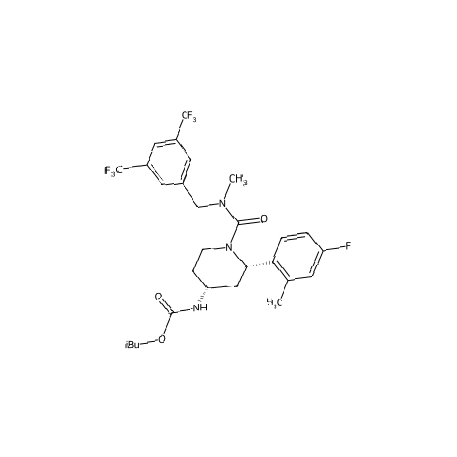 CCC(C)OC(=O)N[C@@H]1CCN(C(=O)N(C)Cc2cc(C(F)(F)F)cc(C(F)(F)F)c2)[C@H](c2ccc(F)cc2C)C1